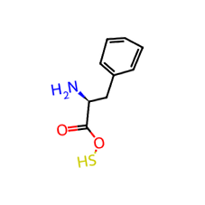 N[C@@H](Cc1ccccc1)C(=O)OS